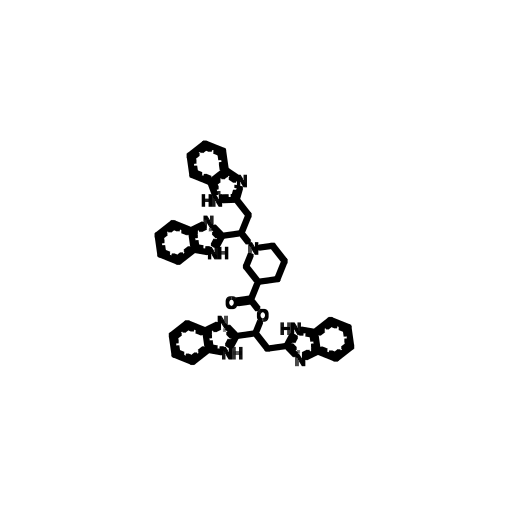 O=C(OC(Cc1nc2ccccc2[nH]1)c1nc2ccccc2[nH]1)C1CCCN(C(Cc2nc3ccccc3[nH]2)c2nc3ccccc3[nH]2)C1